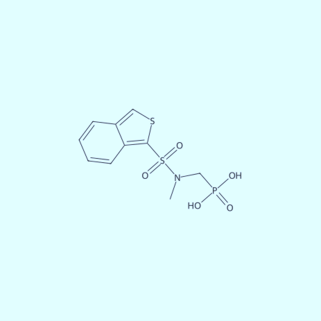 CN(CP(=O)(O)O)S(=O)(=O)c1scc2ccccc12